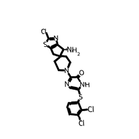 N[C@@H]1c2nc(Cl)sc2CC12CCN(c1ncc(Sc3cccc(Cl)c3Cl)[nH]c1=O)CC2